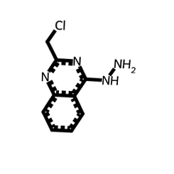 NNc1nc(CCl)nc2ccccc12